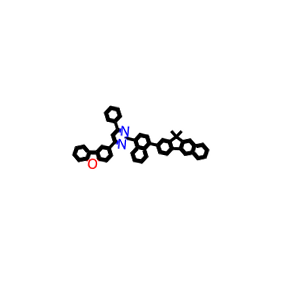 CC1(C)c2cc(-c3ccc(-c4nc(-c5ccccc5)cc(-c5ccc6oc7ccccc7c6c5)n4)c4ccccc34)ccc2-c2cc3ccccc3cc21